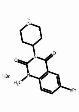 Br.CCCc1ccc2c(c1)c(=O)n(C1CCNCC1)c(=O)n2C